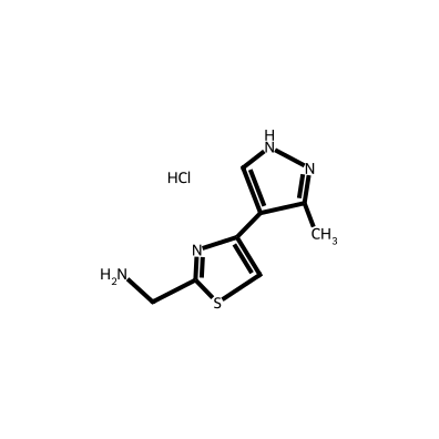 Cc1n[nH]cc1-c1csc(CN)n1.Cl